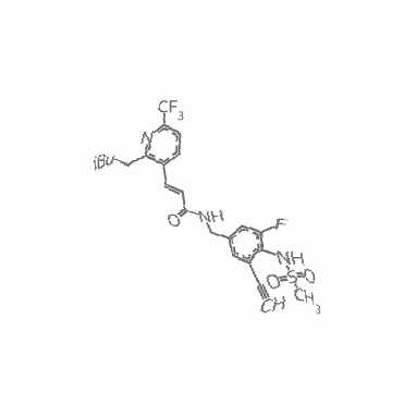 C#Cc1cc(CNC(=O)C=Cc2ccc(C(F)(F)F)nc2CC(C)CC)cc(F)c1NS(C)(=O)=O